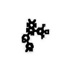 Cc1cc([C@@H]2C[C@H](c3nc(-c4cc(F)c(Cl)c(F)c4)c4nc(C)c(C)nc4n3)CCO2)ccn1